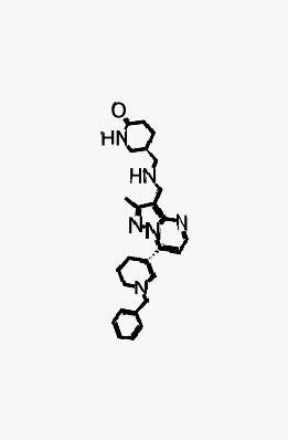 Cc1nn2c([C@H]3CCCN(Cc4ccccc4)C3)ccnc2c1CNC[C@@H]1CCC(=O)NC1